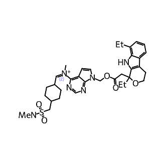 CCc1cccc2c3c([nH]c12)C(CC)(CC(=O)OCn1ccc2c(/[N+](C)=C\C4CCC(CS(=O)(=O)NC)CC4)ncnc21)OCC3